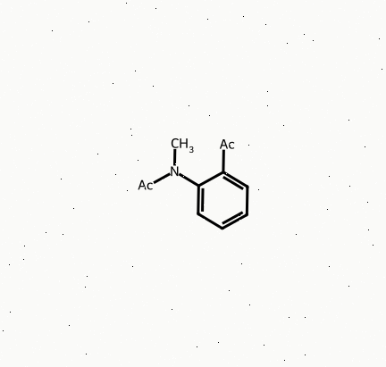 CC(=O)c1ccccc1N(C)C(C)=O